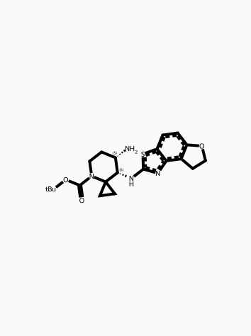 CC(C)(C)OC(=O)N1CC[C@H](N)[C@H](Nc2nc3c4c(ccc3s2)OCC4)C12CC2